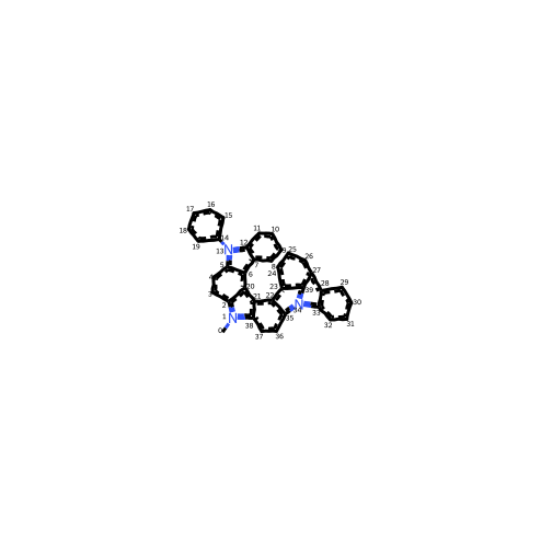 Cn1c2ccc3c(c4ccccc4n3-c3ccccc3)c2c2c3c4cccc5c6ccccc6n(c3ccc21)c54